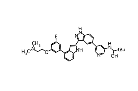 CN(C)CCOc1cc(F)cc(-c2cccc3[nH]c(-c4n[nH]c5ccc(-c6cncc(NC(O)C(C)(C)C)c6)cc45)cc23)c1